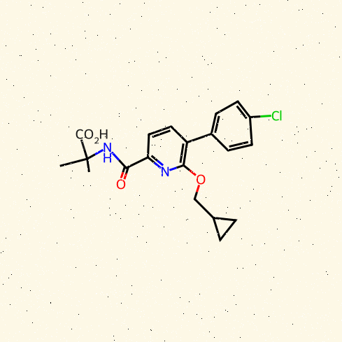 CC(C)(NC(=O)c1ccc(-c2ccc(Cl)cc2)c(OCC2CC2)n1)C(=O)O